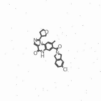 Cc1cc2c(cc1C(=O)N1Cc3ccc(Cl)cc3C1)[nH]c(=O)c1cnc(C3CCOC3)n12